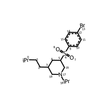 CC(C)CCC1CC(S(=O)(=O)c2ccc(Br)cc2)CN(C(C)C)C1